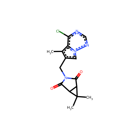 Cc1c(CN2C(=O)C3C(C2=O)C3(C)C)cn2ncnc(Cl)c12